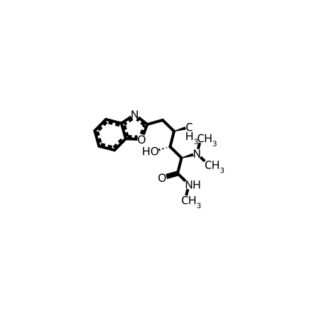 CNC(=O)[C@@H]([C@H](O)[C@H](C)Cc1nc2ccccc2o1)N(C)C